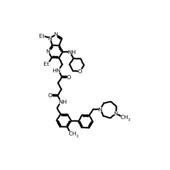 CCc1nc2c(cnn2CC)c(NC2CCOCC2)c1CNC(=O)CCC(=O)NCc1ccc(C)c(-c2cccc(CN3CCCN(C)CC3)c2)c1